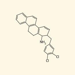 NC1C2=C(C=CC1Cc1ccc(Cl)c(Cl)c1)c1ccc3ccccc3c1CC2